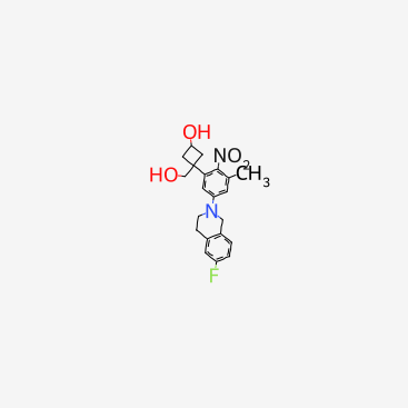 Cc1cc(N2CCc3cc(F)ccc3C2)cc(C2(CO)CC(O)C2)c1[N+](=O)[O-]